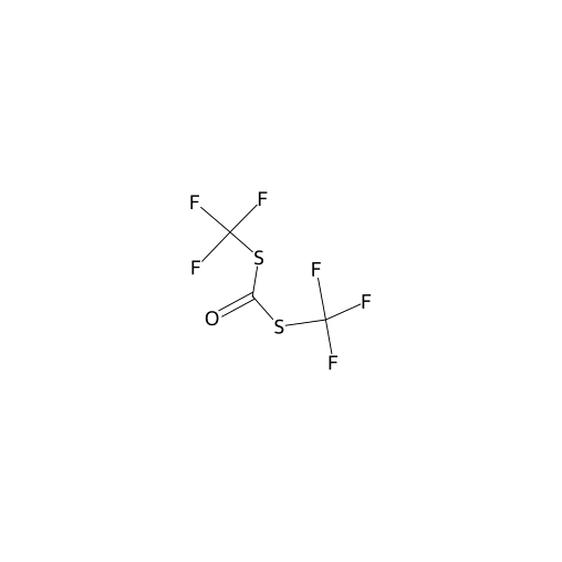 O=C(SC(F)(F)F)SC(F)(F)F